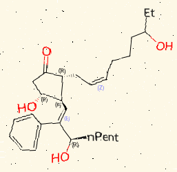 CCCCC[C@@H](O)/C(=C/[C@H]1[C@H](O)CC(=O)[C@@H]1C/C=C\CCCC(O)CC)c1ccccc1